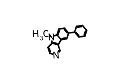 Cn1c2ccncc2c2cc(-c3ccccc3)ccc21